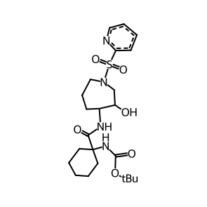 CC(C)(C)OC(=O)NC1(C(=O)NC2CCCN(S(=O)(=O)c3ccccn3)CC2O)CCCCC1